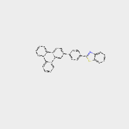 c1ccc2sc(-c3ccc(-c4ccc5c6ccccc6c6ccccc6c5c4)cc3)nc2c1